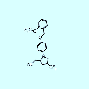 N#CCC1CC(C(F)(F)F)CN1c1ccc(OCc2ccccc2OC(F)(F)F)cc1